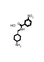 Cl.N[C@H]1CC[C@@H](CNC(=O)c2cccc([N+](=O)[O-])c2)CC1